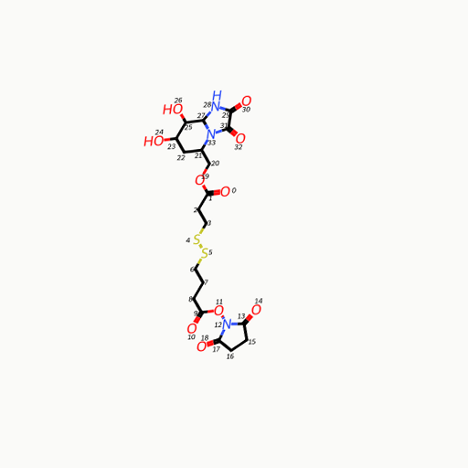 O=C(CCSSCCCC(=O)ON1C(=O)CCC1=O)OCC1CC(O)C(O)C2NC(=O)C(=O)N12